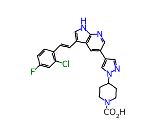 O=C(O)N1CCC(n2cc(-c3cnc4[nH]cc(C=Cc5ccc(F)cc5Cl)c4c3)cn2)CC1